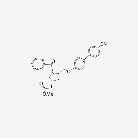 COC(=O)C[C@@H]1C[C@@H](COc2ccc(-c3ccc(C#N)cc3)cc2)N(C(=O)c2ccccc2)C1